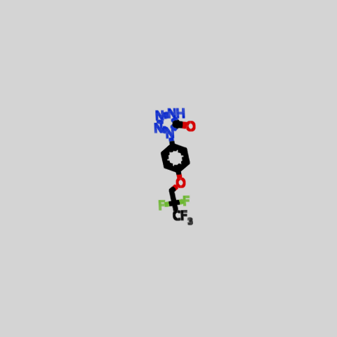 O=c1[nH]nnn1-c1ccc(OCC(F)(F)C(F)(F)F)cc1